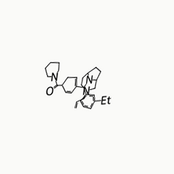 C=CCN1CCC2CCC(C1)N2C(C1=CCC(C(=O)N2CCCCC2)C=C1)c1cccc(CC)c1